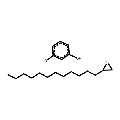 CCCCCCCCCCCCC1CO1.Oc1cccc(O)c1